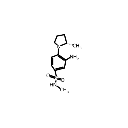 CNS(=O)(=O)c1ccc(N2CCC[C@@H]2C)c(N)c1